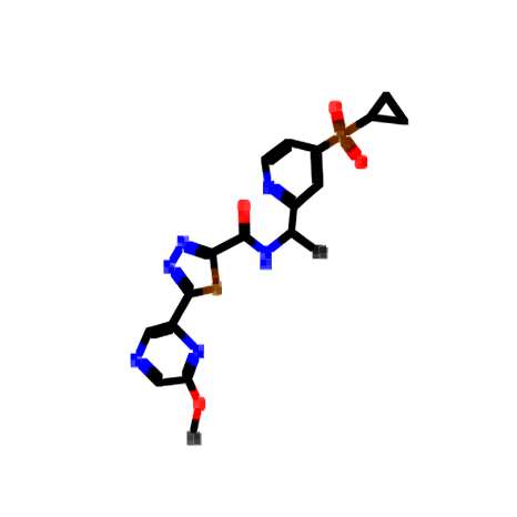 CCOc1cncc(-c2nnc(C(=O)NC(CC)c3cc(S(=O)(=O)C4CC4)ccn3)s2)n1